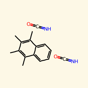 Cc1c(C)c(C)c2ccccc2c1C.N=C=O.N=C=O